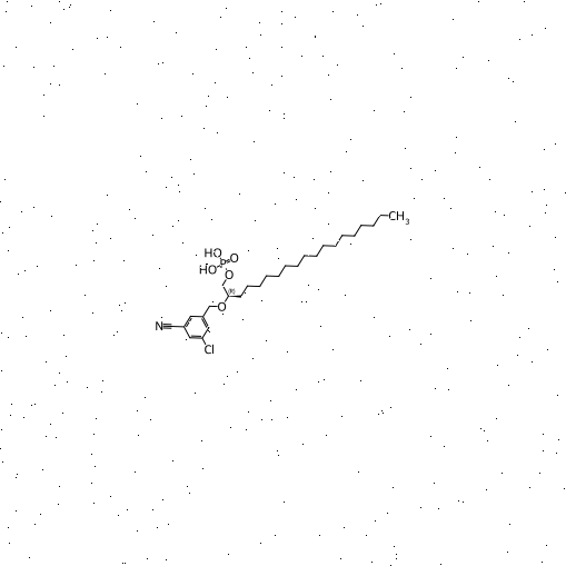 CCCCCCCCCCCCCCCCC[C@H](COP(=O)(O)O)OCc1cc(Cl)cc(C#N)c1